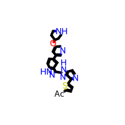 CC(=O)c1ccc(-c2nccc3[nH]c(-c4n[nH]c5ccc(-c6cncc(OC7CCNCC7)c6)cc45)nc23)s1